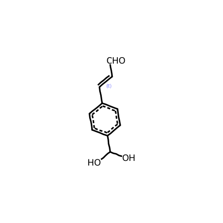 O=C/C=C/c1ccc(C(O)O)cc1